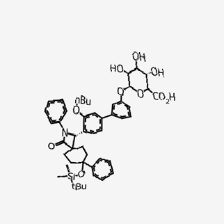 CCCCOc1cc(-c2cccc(O[C@@H]3OC(C(=O)O)[C@@H](O)C(O)[C@@H]3O)c2)ccc1[C@H]1N(c2ccccc2)C(=O)C12CCC(O[Si](C)(C)C(C)(C)C)(c1ccccc1)CC2